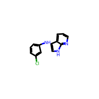 Clc1cccc(Nc2c[nH]c3ncccc23)c1